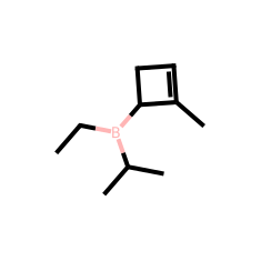 CCB(C(C)C)C1CC=C1C